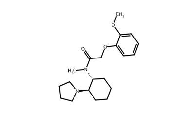 COc1ccccc1OCC(=O)N(C)[C@@H]1CCCC[C@H]1N1CCCC1